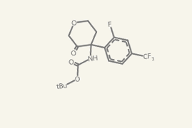 CC(C)(C)OC(=O)NC1(c2ccc(C(F)(F)F)cc2F)CCOCC1=O